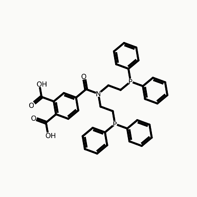 O=C(O)c1ccc(C(=O)N(CCP(c2ccccc2)c2ccccc2)CCP(c2ccccc2)c2ccccc2)cc1C(=O)O